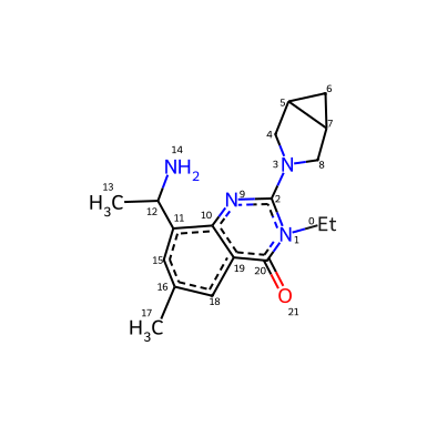 CCn1c(N2CC3CC3C2)nc2c(C(C)N)cc(C)cc2c1=O